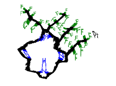 FC(F)(F)C(F)(F)C(F)(F)C1=Cc2cc3ccc(cc4nc(cc5[nH]c(c(C(F)(F)C(F)(F)C(F)(F)F)c1n2)c(C(F)(F)C(F)(F)C(F)(F)F)c5C(F)(F)C(F)(F)C(F)(F)F)C=C4)[nH]3.[Pt]